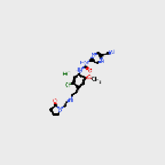 COc1cc(CCNCCN2CCCC2=O)c(Cl)cc1NC(=O)Nc1cnc(C#N)cn1.Cl